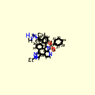 CCn1cc(-c2ccnc3c2cc(-c2cccc(C(C)(C)N)c2)n3S(=O)(=O)c2ccccc2)c(-c2ccc([N+](=O)[O-])cc2)n1